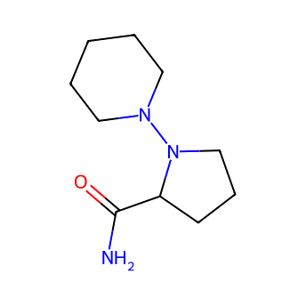 NC(=O)C1CCCN1N1CCCCC1